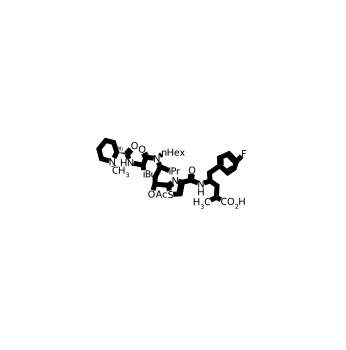 CCCCCCN(C(=O)C(NC(=O)[C@H]1CCCCN1C)C(C)CC)C(CC(OC(C)=O)c1nc(C(=O)NC(Cc2ccc(F)cc2)CC(C)C(=O)O)cs1)C(C)C